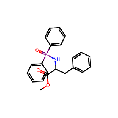 COC(=O)C(Cc1ccccc1)NP(=O)(c1ccccc1)c1ccccc1